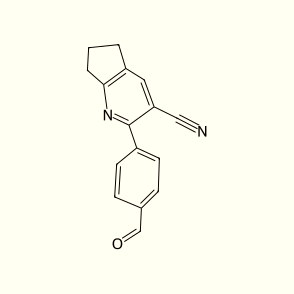 N#Cc1cc2c(nc1-c1ccc(C=O)cc1)CCC2